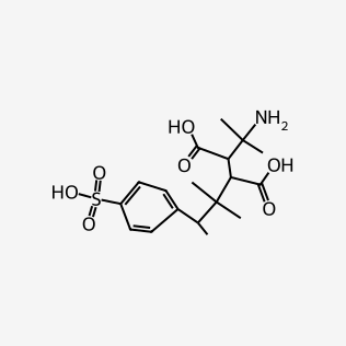 CC(c1ccc(S(=O)(=O)O)cc1)C(C)(C)C(C(=O)O)C(C(=O)O)C(C)(C)N